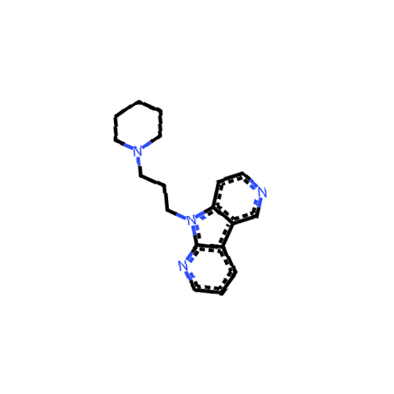 c1cnc2c(c1)c1cnccc1n2CCCN1CCCCC1